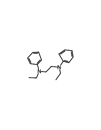 CCN(CCN(CC)c1ccccc1)c1ccccc1